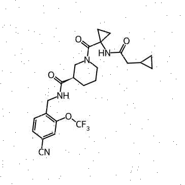 N#Cc1ccc(CNC(=O)[C@@H]2CCCN(C(=O)C3(NC(=O)CC4CC4)CC3)C2)c(OC(F)(F)F)c1